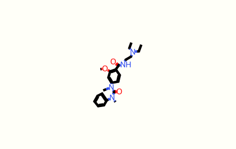 CCN(CC)CCNC(=O)c1ccc(N(C)C(=O)N(C)c2ccccc2)cc1OC